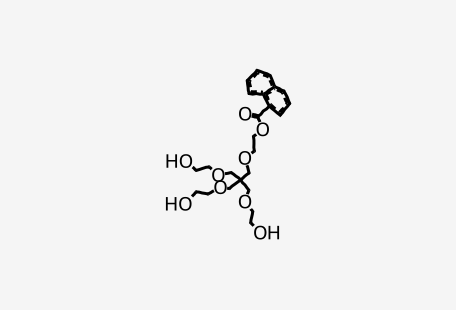 O=C(OCCOCC(COCCO)(COCCO)COCCO)c1cccc2ccccc12